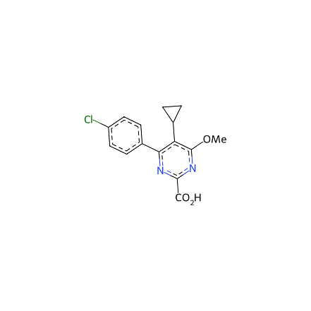 COc1nc(C(=O)O)nc(-c2ccc(Cl)cc2)c1C1CC1